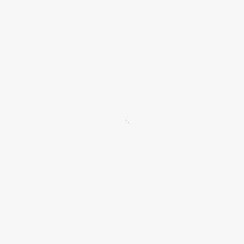 CC(Cc1csc(-c2ccc(F)cc2)n1)C(=O)O